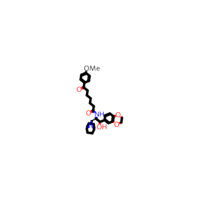 COc1ccc(C(=O)CCCCCC(=O)N[C@H](CN2C3CCC2CC3)C(O)c2ccc3c(c2)OCCO3)cc1